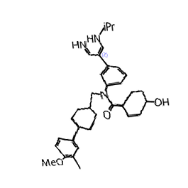 COc1ccc(C2CCC(CN(C(=O)C3CCC(O)CC3)c3cccc(/C(C=N)=C/NC(C)C)c3)CC2)cc1C